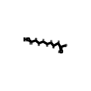 [CH2]C(=O)CCCCCCCCO